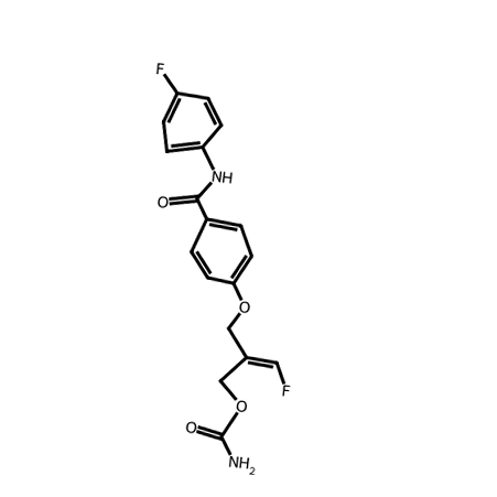 NC(=O)OCC(=CF)COc1ccc(C(=O)Nc2ccc(F)cc2)cc1